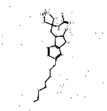 CCCCCCCCc1ccc2c(c1)CC(O)C2CC(CO)(CO)NC(C)=O